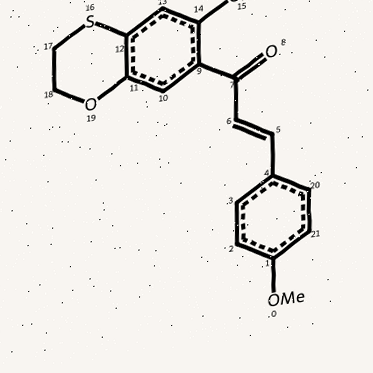 COc1ccc(C=CC(=O)c2cc3c(cc2OC)SCCO3)cc1